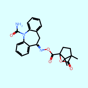 CC12CCC(C(=O)ON=C3Cc4ccccc4N(C(N)=O)c4ccccc43)(OC1=O)C2(C)C